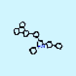 C1=CC(c2ccccc2)CC=C1C1C=C(c2cccc(-c3ccc4c(c3)c3c(c5ccccc54)CCC3)c2)C[C@@H](c2ccccc2)N1